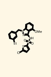 CCc1cccc(Cn2nc(NS(=O)(=O)c3ccc(Cl)s3)c3c(OC)cccc32)c1